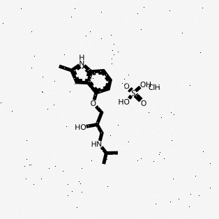 Cc1cc2c(OCC(O)CNC(C)C)cccc2[nH]1.Cl.O=S(=O)(O)O